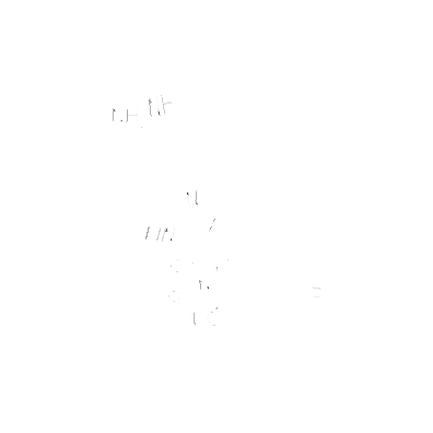 C[C@H](c1ccc(F)cc1)N1C(=O)O[C@](Cc2ccccc2)(c2nc3cc(/C(C=N)=C/N)ccc3[nH]2)C1=O